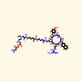 CCN(CCN(C)CC(=O)OOC(=O)CNC)CC(=O)NCCCCC(=O)NCCCCC(=O)NCCC[C@@H]1C(=O)N[C@@H](CCCNC(=N)N)C(=O)N[C@@H](Cc2ccc3ccccc3c2)C(=O)NCC(=O)N[C@H](Cc2ccc(O)cc2)C(=O)N1C